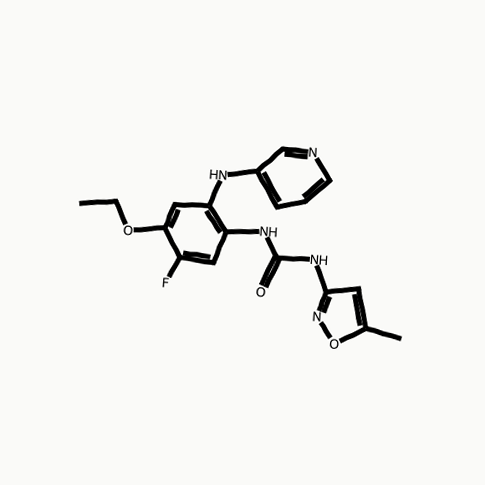 CCOc1cc(Nc2cccnc2)c(NC(=O)Nc2cc(C)on2)cc1F